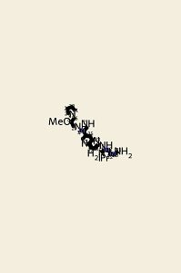 COC(CN/C=C(\C=N)c1cnc2ccc(N/C(N)=C/C(=C\N)C(C)C)nc2c1)CN1CCCC1